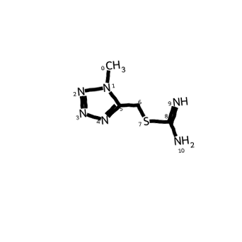 Cn1nnnc1CSC(=N)N